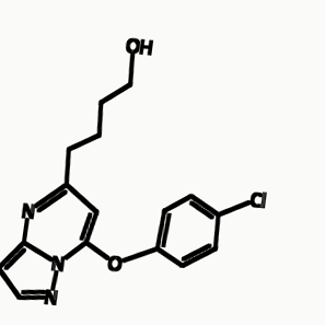 OCCCCc1cc(Oc2ccc(Cl)cc2)n2nccc2n1